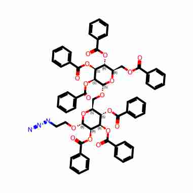 [N-]=[N+]=NCCO[C@@H]1O[C@@H](CO[C@H]2O[C@H](COC(=O)c3ccccc3)[C@@H](OC(=O)c3ccccc3)[C@H](OC(=O)c3ccccc3)[C@@H]2OC(=O)c2ccccc2)[C@H](OC(=O)c2ccccc2)[C@@H](OC(=O)c2ccccc2)[C@H]1OC(=O)c1ccccc1